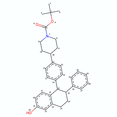 CC(C)(C)OC(=O)N1CCC(c2ccc(C3c4ccc(O)cc4CCC3c3ccccc3)cc2)CC1